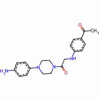 CC(=O)c1ccc(NCC(=O)N2CCN(c3ccc(N)cc3)CC2)cc1